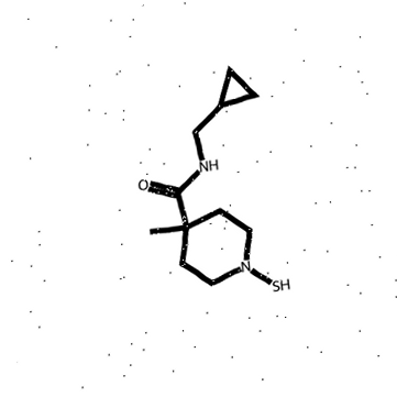 CC1(C(=O)NCC2CC2)CCN(S)CC1